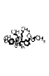 CCCCN(CCCC)c1c(S(=O)(=O)c2ccc(OC)cc2)cnc2ccc(C(=O)OCC)cc12